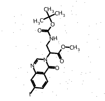 COC(=O)C(CNC(=O)OC(C)(C)C)n1cnc2cc(I)ccc2c1=O